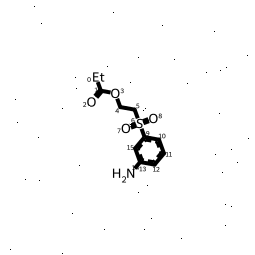 CCC(=O)OCCS(=O)(=O)c1cccc(N)c1